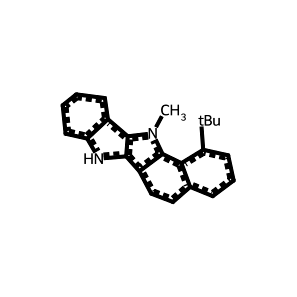 Cn1c2c3ccccc3[nH]c2c2ccc3cccc(C(C)(C)C)c3c21